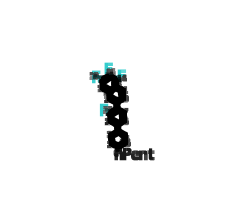 CCCCCC1CCC(c2ccc(-c3ccc4c(F)c(F)c(F)cc4c3)c(F)c2)CC1